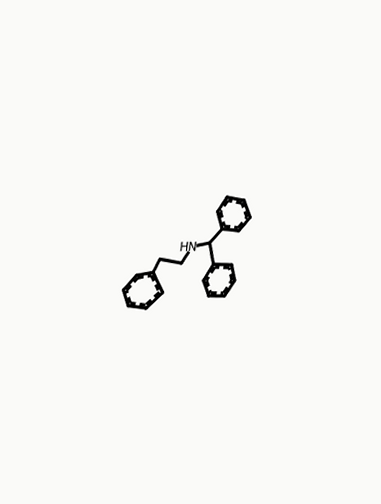 c1ccc(CCNC(c2ccccc2)c2ccccc2)cc1